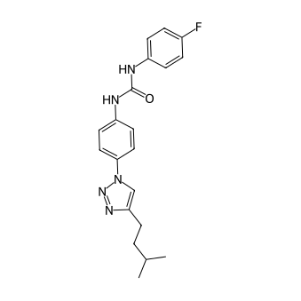 CC(C)CCc1cn(-c2ccc(NC(=O)Nc3ccc(F)cc3)cc2)nn1